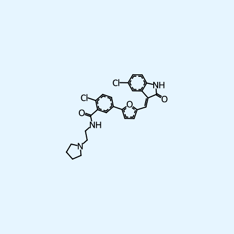 O=C1Nc2ccc(Cl)cc2/C1=C\c1ccc(-c2ccc(Cl)c(C(=O)NCCN3CCCC3)c2)o1